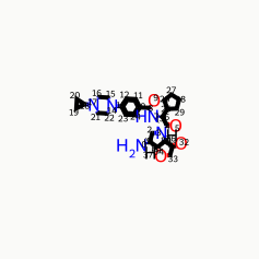 N[C@H]1CN(C(=O)[C@@H](NC(=O)c2ccc(N3CCN(C4CC4)CC3)cc2)C2CCCC2)[C@@H]2C(=O)CO[C@@H]21